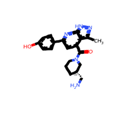 Cc1n[nH]c2nc(-c3ccc(O)cc3)cc(C(=O)N3CCC[C@@H](CN)C3)c12